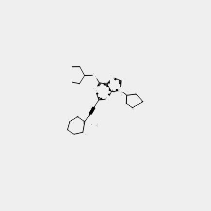 CCC(CC)Nc1nc(C#C[C@]2(O)CCC[C@@H](C)C2)nc2c1ncn2C1CCCC1